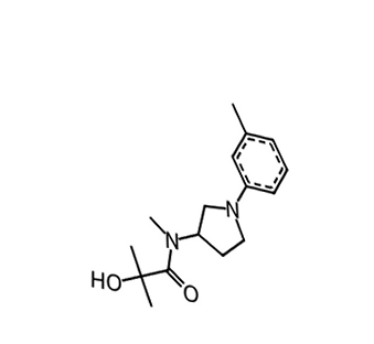 Cc1cccc(N2CCC(N(C)C(=O)C(C)(C)O)C2)c1